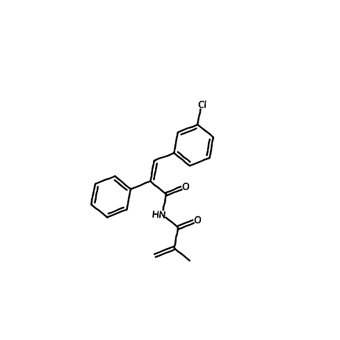 C=C(C)C(=O)NC(=O)/C(=C\c1cccc(Cl)c1)c1ccccc1